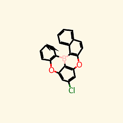 Clc1cc2c3c(c1)Oc1ccc4ccccc4c1B3c1c(ccc3ccccc13)O2